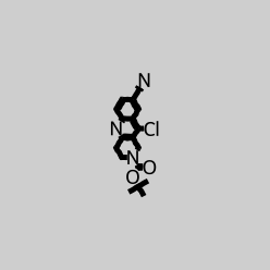 CC(C)(C)OC(=O)N1CCc2nc3ccc(C#N)cc3c(Cl)c2C1